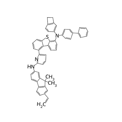 C=Cc1ccc2c(c1)C(C)(C)c1cc(Nc3cccc(-c4cccc5sc6c(N(c7ccc(-c8ccccc8)cc7)c7ccc8c(c7)CC8)cccc6c45)n3)ccc1-2